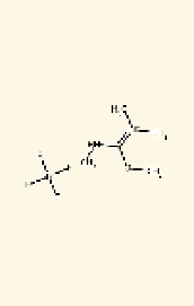 CNC(OC)=[N+](C)C.F[B-](F)(F)F